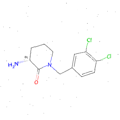 N[C@@H]1CCCN(Cc2ccc(Cl)c(Cl)c2)C1=O